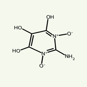 Nc1[n+]([O-])c(O)c(O)c(O)[n+]1[O-]